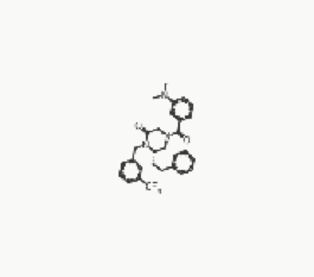 CN(C)c1cccc(C(=O)N2CC(=O)N(Cc3cccc(C(F)(F)F)c3)[C@@H](CCc3ccccc3)C2)c1